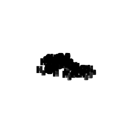 CCC(C)(C)c1cc(C(C)(C)CC)c2oc(/C(C#N)=C/c3ccc(N(C(=O)OC(C(=O)Nc4cc(NS(=O)(=O)c5ccc(NS(C)(=O)=O)cc5NS(C)(=O)=O)ccc4Cl)C(=O)C(C)(C)C)C4CCCC4)cc3C)nc2c1